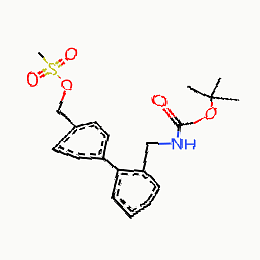 CC(C)(C)OC(=O)NCc1ccccc1-c1ccc(COS(C)(=O)=O)cc1